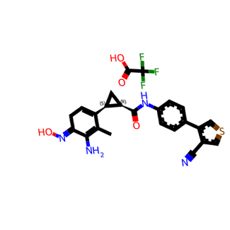 CC1=C(N)C(=NO)CC=C1[C@H]1C[C@H]1C(=O)Nc1ccc(-c2cscc2C#N)cc1.O=C(O)C(F)(F)F